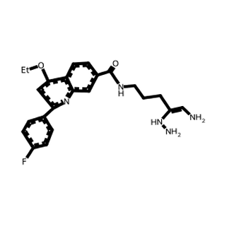 CCOc1cc(-c2ccc(F)cc2)nc2cc(C(=O)NCCC/C(=C/N)NN)ccc12